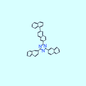 c1ccc2cc(-c3nc(-c4ccc5ccccc5c4)nc(-c4ccc5cc(-c6cccc7ccccc67)ccc5c4)n3)ccc2c1